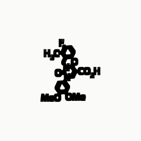 COc1ccc(-n2cc(C(=O)O)c(=O)n(Cc3cccc(F)c3C)c2=O)cc1OC